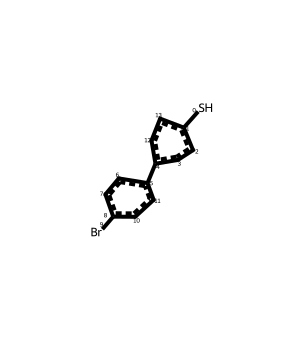 Sc1ccc(-c2ccc(Br)cc2)cc1